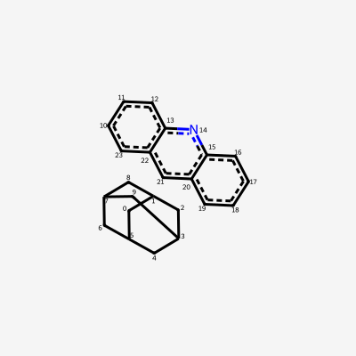 C1C2CC3CC1CC(C2)C3.c1ccc2nc3ccccc3cc2c1